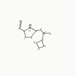 C=CC1CCC(CN(C)C2CCC2)N1